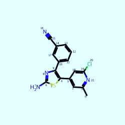 Cc1cc(-c2sc(N)nc2-c2cccc(C#N)c2)cc(Cl)n1